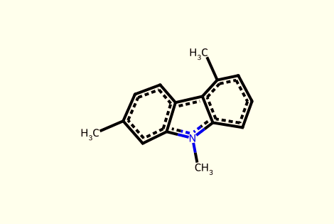 Cc1ccc2c3c(C)cccc3n(C)c2c1